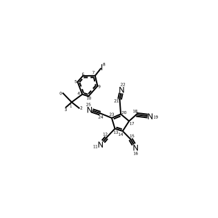 CC(C)(C)c1ccc(I)cc1.N#CC1=C(C#N)C(C#N)C(C#N)=C1C#N